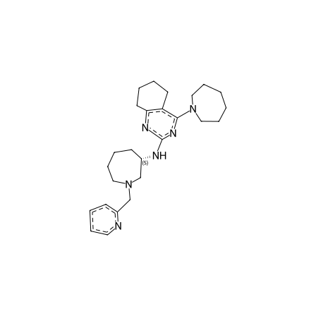 c1ccc(CN2CCCC[C@H](Nc3nc4c(c(N5CCCCCC5)n3)CCCC4)C2)nc1